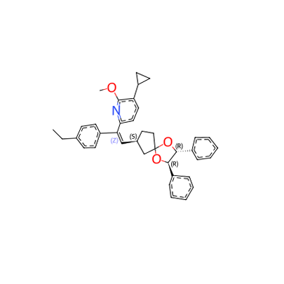 CCc1ccc(/C(=C/[C@H]2CCC3(C2)O[C@H](c2ccccc2)[C@@H](c2ccccc2)O3)c2ccc(C3CC3)c(OC)n2)cc1